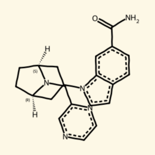 NC(=O)c1ccc2ccn(C3C[C@H]4CC[C@@H](C3)N4Cc3cnccn3)c2c1